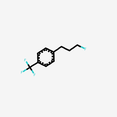 FCCCc1ccc(C(F)(F)F)cc1